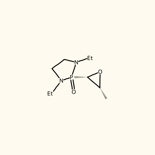 CCN1CCN(CC)P1(=O)[C@@H]1O[C@@H]1C